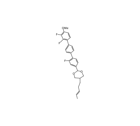 C/C=C/CCC1COC(c2ccc(-c3ccc(-c4ccc(OC)c(F)c4F)cc3)c(F)c2)OC1